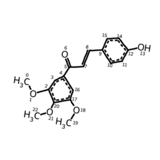 COc1cc(C(=O)C=Cc2ccc(O)cc2)cc(OC)c1OC